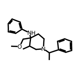 COCC1(Nc2ccccc2)CCN(C(C)c2ccccc2)CC1C